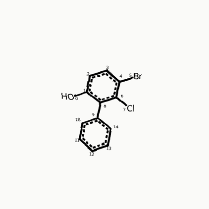 Oc1ccc(Br)c(Cl)c1-c1ccccc1